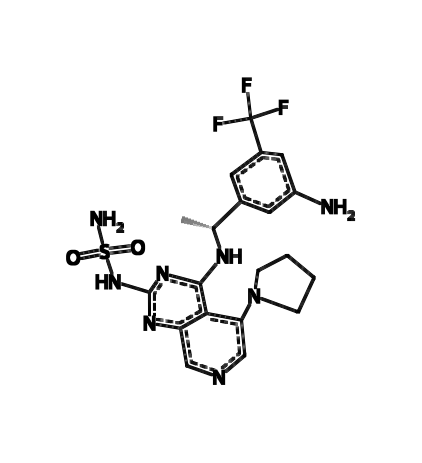 C[C@@H](Nc1nc(NS(N)(=O)=O)nc2cncc(N3CCCC3)c12)c1cc(N)cc(C(F)(F)F)c1